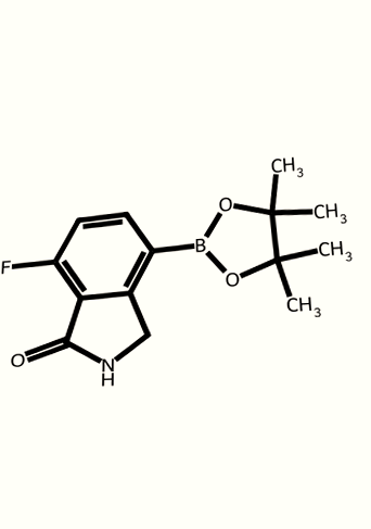 CC1(C)OB(c2ccc(F)c3c2CNC3=O)OC1(C)C